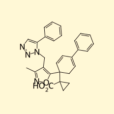 Cc1noc(C2(C3(C(=O)O)CC3)C=CC(c3ccccc3)=CC2)c1Cn1nncc1-c1ccccc1